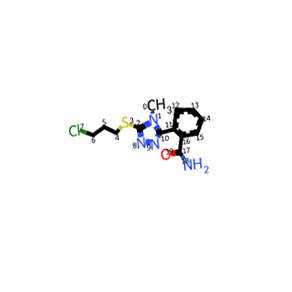 Cn1c(SCCCCl)nnc1-c1ccccc1C(N)=O